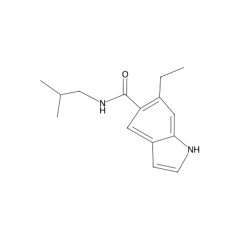 CCc1cc2[nH]ccc2cc1C(=O)NCC(C)C